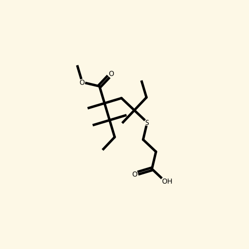 CCC(C)(CC(C)(C(=O)OC)C(C)(C)CC)SCCC(=O)O